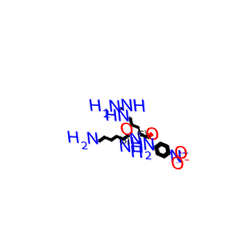 N=C(N)NCCC[C@H](NC(=O)[C@@H](N)CCCCN)C(=O)Nc1ccc([N+](=O)[O-])cc1